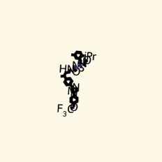 Cc1ccc(C(C)C)c(N2C(=O)CS/C2=N\C(=O)NCCC(C)c2ccc(-c3ncn(-c4ccc(OC(F)(F)F)cc4)n3)cc2)c1